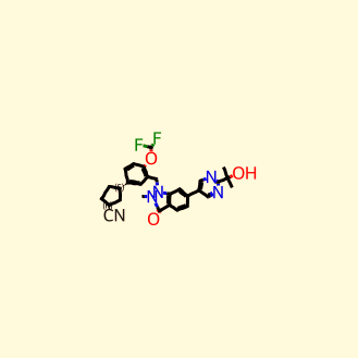 Cn1c(=O)c2ccc(-c3cnc(C(C)(C)O)nc3)cc2n1Cc1cc([C@H]2CC[C@@H](C#N)C2)ccc1OC(F)F